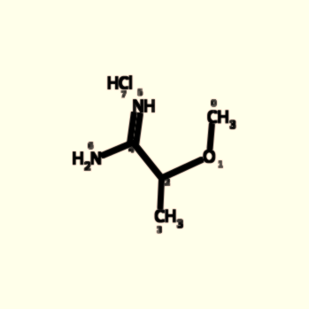 COC(C)C(=N)N.Cl